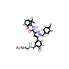 CC(=O)NCNCc1cc(-c2cc(C(=O)NC3C4(C)CCC(C4)C3(C)C)nn2Cc2ccc(C)cc2)ccc1Cl